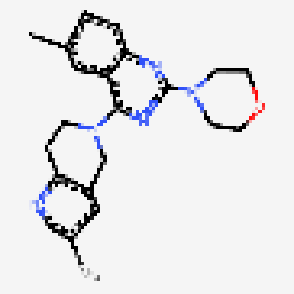 Cc1ccc2nc(N3CCOCC3)nc(N3CCc4ncc(C(F)(F)F)cc4C3)c2c1